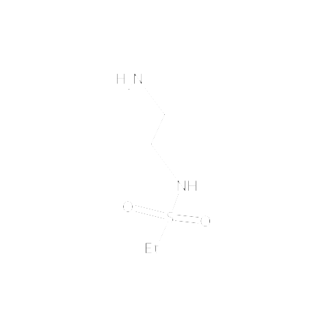 CCS(=O)(=O)NCCN